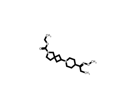 CCOC(=O)N1CCC2(CC(N3CCC(C(CC)=NOC)CC3)C2)C1